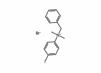 C[N+](C)(Cc1ccccc1)c1ccc(I)cc1.[Br-]